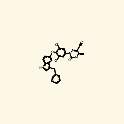 C=C1NC(=O)N(c2cc(Cl)c(Oc3ccc4[nH]cc(Cc5ccccc5)c4c3)c(Cl)c2)N=C1C#N